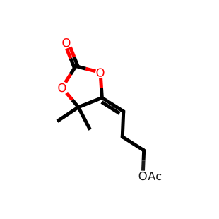 CC(=O)OCC/C=C1/OC(=O)OC1(C)C